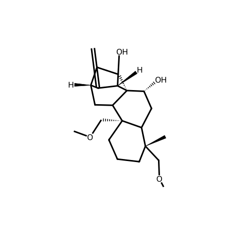 C=C1[C@H]2CC[C@]3(C(C2)[C@]2(COC)CCC[C@@](C)(COC)C2C[C@H]3O)[C@H]1O